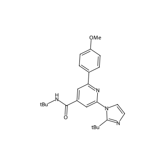 COc1ccc(-c2cc(C(=O)NC(C)(C)C)cc(-n3ccnc3C(C)(C)C)n2)cc1